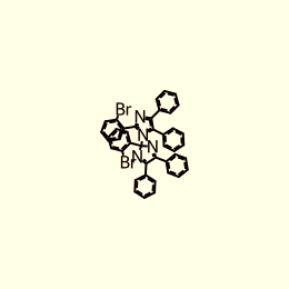 Brc1ccccc1-c1nc(-c2ccccc2)c(-c2ccccc2)n1C1(c2ccccc2Br)N=C(c2ccccc2)C(c2ccccc2)=N1